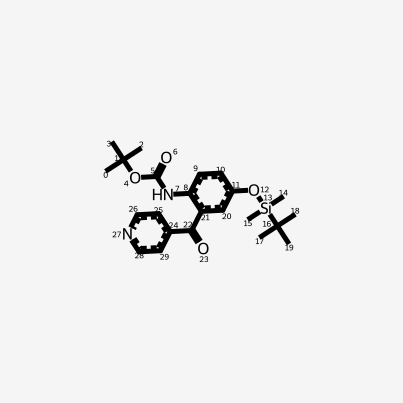 CC(C)(C)OC(=O)Nc1ccc(O[Si](C)(C)C(C)(C)C)cc1C(=O)c1ccncc1